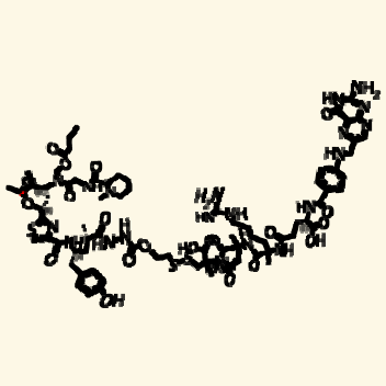 CCCC(=O)OCN(C(=O)CNC(=O)[C@H]1CCCCN1C)[C@H](C[C@@H](OC(C)=O)c1nc(C(=O)N[C@@H](Cc2ccc(O)cc2)C[C@H](C)C(=O)NNC(=O)OCCSSCC(C)(NC(=O)C(C)(CC(=O)O)NC(=O)C(C)(CCCCNC(=N)N)NC(=O)CC[C@@H](NC(=O)c2ccc(NCc3cnc4nc(N)[nH]c(=O)c4n3)cc2)C(=O)O)C(=O)O)cs1)C(C)C